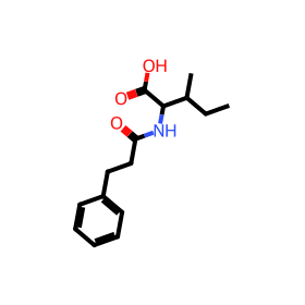 CCC(C)C(NC(=O)CCc1ccccc1)C(=O)O